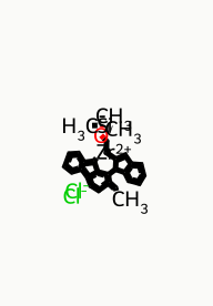 CC=c1ccc2c(c1C1C(CCO[Si](C)(C)C)=Cc3ccccc31)[C]([Zr+2])=c1ccccc1=2.[Cl-].[Cl-]